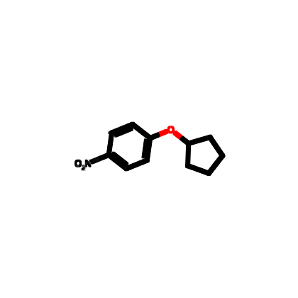 O=[N+]([O-])c1[c]cc(OC2CCCC2)cc1